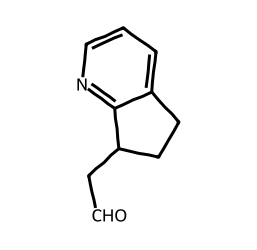 O=CCC1CCc2cccnc21